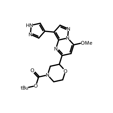 COc1cc(C2CN(C(=O)OC(C)(C)C)CCO2)nc2c(-c3cn[nH]c3)cnn12